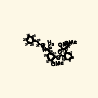 COC=C(C(=O)OC)c1ccccc1COc1cc(C(C)=NOCCc2ccccc2)ccc1OC